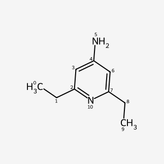 CCc1cc(N)cc(CC)n1